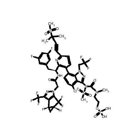 CN(CCOP(=O)(O)O)C(=O)N(c1nn(CC(F)(F)F)c2c(-c3ccc(C#CC(C)(C)S(C)(=O)=O)nc3[C@H](Cc3cc(F)cc(F)c3)NC(=O)Cn3nc(C(F)(F)F)c4c3C(F)(F)[C@@H]3C[C@H]43)ccc(Cl)c12)S(C)(=O)=O